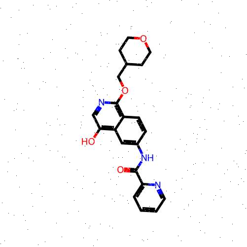 O=C(Nc1ccc2c(OCC3CCOCC3)ncc(O)c2c1)c1ccccn1